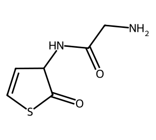 NCC(=O)NC1C=CSC1=O